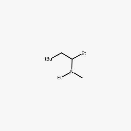 CCC(CC(C)(C)C)N(C)CC